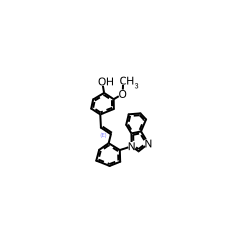 COc1cc(/C=C/c2ccccc2-n2cnc3ccccc32)ccc1O